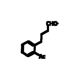 CC(=O)c1ccccc1CCC[C]=O